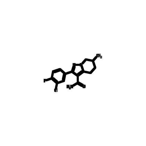 NC(=O)c1c(-c2ccc(F)c(Cl)c2)nn2c1CCC(C(F)(F)F)C2